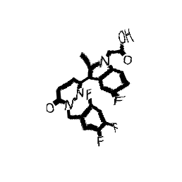 Cc1c(-c2ccc(=O)n(Cc3cc(F)c(F)cc3F)n2)c2cc(F)ccc2n1CC(=O)O